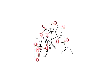 C=C(C12O[C@@]3(COC(=O)[C@]3(C)[C@]1(C)OC(=O)/C(C)=C/C)C(=O)O[C@](C)(C(C)=O)[C@@H]2OC(C)=O)[C@]1(CC)C=CC(=O)OC1(C)C